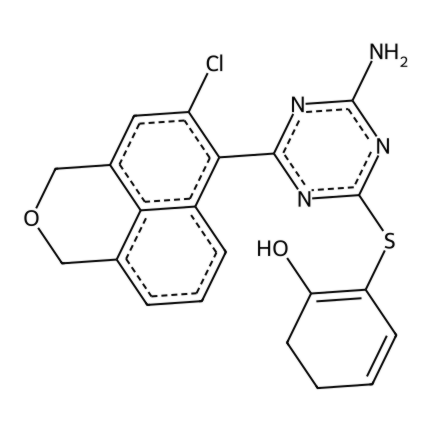 Nc1nc(SC2=C(O)CCC=C2)nc(-c2c(Cl)cc3c4c(cccc24)COC3)n1